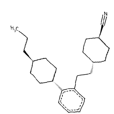 CCC[C@H]1CC[C@H](c2ccccc2CC[C@H]2CC[C@H](C#N)CC2)CC1